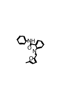 Cc1ccc(C=Nc2ccccc2C(=O)Nc2ccccc2)o1